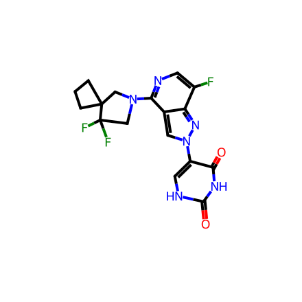 O=c1[nH]cc(-n2cc3c(N4CC(F)(F)C5(CCC5)C4)ncc(F)c3n2)c(=O)[nH]1